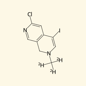 [2H]C([2H])([2H])N1C=C(I)c2cc(Cl)ncc2C1